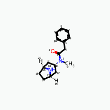 CN(C(=O)Cc1ccccc1)[C@@H]1C[C@H]2CC[C@@H](C1)N2